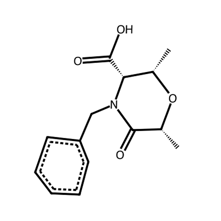 C[C@@H]1O[C@H](C)C(=O)N(Cc2ccccc2)[C@@H]1C(=O)O